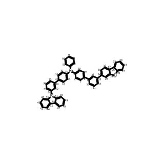 c1ccc(N(c2ccc(-c3cccc(-c4ccc5c(c4)oc4ccccc45)c3)cc2)c2ccc(-c3cccc(-n4c5ccccc5c5ccccc54)c3)cc2)cc1